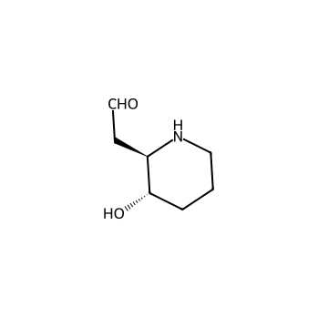 O=CC[C@H]1NCCC[C@@H]1O